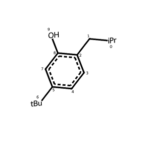 CC(C)Cc1ccc(C(C)(C)C)cc1O